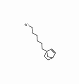 OCCCCCCC12C=CC(CC1)C2